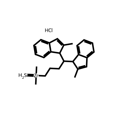 CC1=Cc2ccccc2C1C(CC[CH2][Zr]([CH3])([CH3])=[SiH2])C1C(C)=Cc2ccccc21.Cl